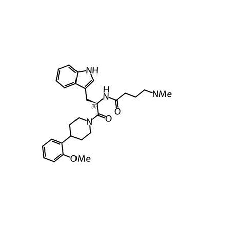 CNCCCC(=O)N[C@H](Cc1c[nH]c2ccccc12)C(=O)N1CCC(c2ccccc2OC)CC1